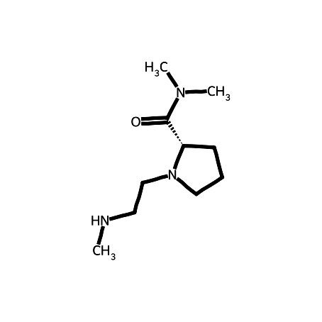 CNCCN1CCC[C@H]1C(=O)N(C)C